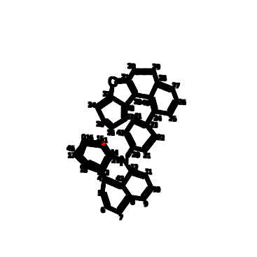 c1ccc(-c2cccc3cccc(N(c4ccccc4)c4ccc(-c5cccc6ccc7oc8ccccc8c7c56)cc4)c23)cc1